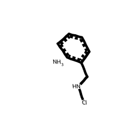 ClNCc1ccccc1.N